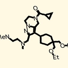 CCOCC1(COCC)CCC(c2c(CN(C)CCNC)nn3c2CN(C(=O)C2CC2)CC3)CC1